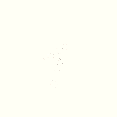 O=C(O)CCSCc1cccc(C(=O)Nc2ccc(N3CCCCC3)cc2-c2cc(C(=O)NC3Cc4ccccc4C3)ccn2)c1